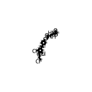 CC(C)(c1ccc(OCC(=O)NCCNS(C)(=O)=O)cc1)c1cc(Cl)c(OCCCCl)c(Cl)c1